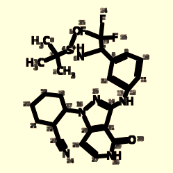 CC(C)(C)[S+]([O-])NC(c1cccc(Nc2nn(C3CCCCC3C#N)c3cc[nH]c(=O)c23)c1)C(F)(F)F